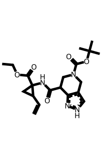 C=CC1CC1(NC(=O)C1CN(C(=O)OC(C)(C)C)Cc2c[nH]nc21)C(=O)OCC